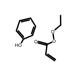 C=CC(=O)OOCC.Oc1ccccc1